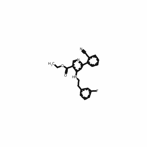 CCOC(=O)c1cnc(-c2ccccc2C#N)cc1NCCc1cccc(F)c1